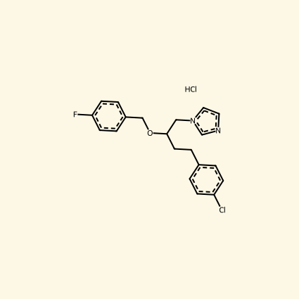 Cl.Fc1ccc(COC(CCc2ccc(Cl)cc2)Cn2ccnc2)cc1